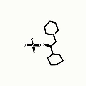 O=C(C[S+]1CCCCC1)C1CCCCC1.O=S(=O)([O-])C(F)(F)F